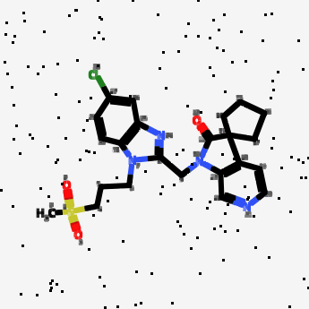 CS(=O)(=O)CCCn1c(CN2C(=O)C3(CCCC3)c3ccncc32)nc2cc(Cl)ccc21